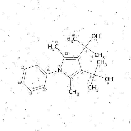 Cc1c(C(C)(C)O)c(C(C)(C)O)c(C)n1-c1ccccc1